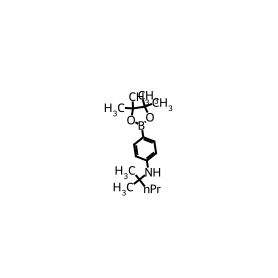 CCCC(C)(C)Nc1ccc(B2OC(C)(C)C(C)(C)O2)cc1